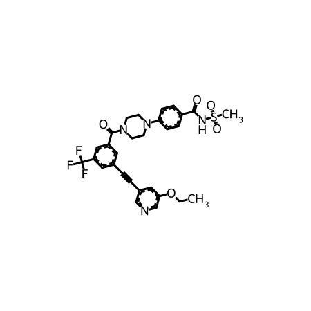 CCOc1cncc(C#Cc2cc(C(=O)N3CCN(c4ccc(C(=O)NS(C)(=O)=O)cc4)CC3)cc(C(F)(F)F)c2)c1